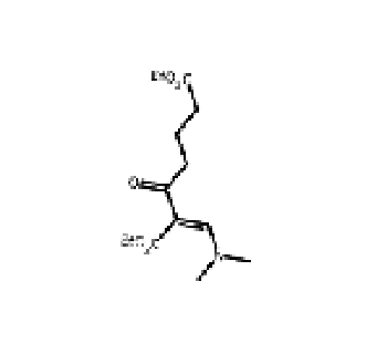 CCOC(=O)CCCC(=O)C(=CN(C)C)C(=O)OCC